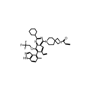 C=CC(=O)N1CC2(CCN(c3nc(C4CCCCC4)nc4c(OCC(F)(F)F)c(-c5c(C)ccc6[nH]ncc56)c(C=C)cc34)CC2)C1